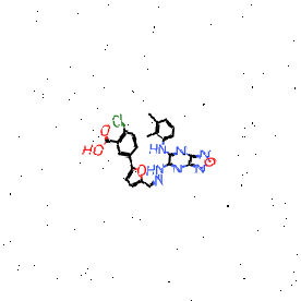 Cc1cccc(Nc2nc3nonc3nc2N/N=C\c2ccc(-c3ccc(Cl)c(C(=O)O)c3)o2)c1C